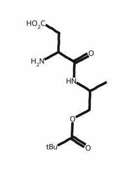 CC(COC(=O)C(C)(C)C)NC(=O)C(N)CC(=O)O